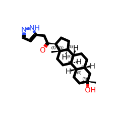 C[C@@]1(O)CC[C@H]2[C@H](CC[C@@H]3[C@@H]2CC[C@]2(C)[C@@H](C(=O)Cc4ccn[nH]4)CC[C@@H]32)C1